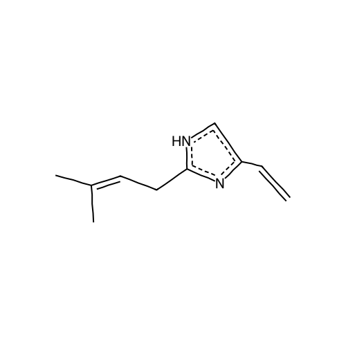 C=Cc1c[nH]c(CC=C(C)C)n1